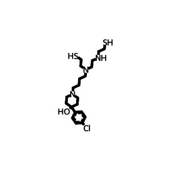 OC1(c2ccc(Cl)cc2)CCN(CCCCN(CCS)CCNCCS)CC1